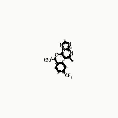 Cc1cc(O[C@H](c2ccc(C(F)(F)F)cc2)C(C)(C)C)n2ncnc2n1